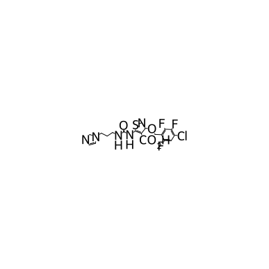 O=C(NCCCn1ccnc1)Nc1snc(OCc2c(F)cc(Cl)c(F)c2F)c1C(=O)O